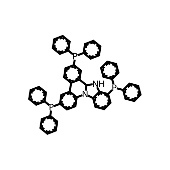 c1ccc(P(c2ccccc2)c2ccc3c(c2)-c2ccc(P(c4ccccc4)c4ccccc4)cc2C2Nc4c(cccc4P(c4ccccc4)c4ccccc4)N32)cc1